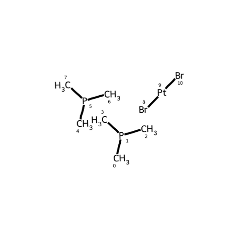 CP(C)C.CP(C)C.[Br][Pt][Br]